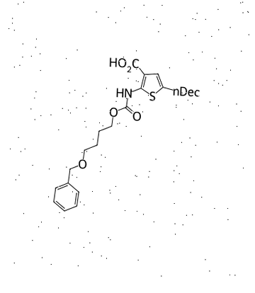 CCCCCCCCCCc1cc(C(=O)O)c(NC(=O)OCCCCOCc2ccccc2)s1